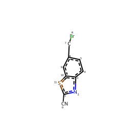 N#Cc1nc2ccc(CBr)cc2s1